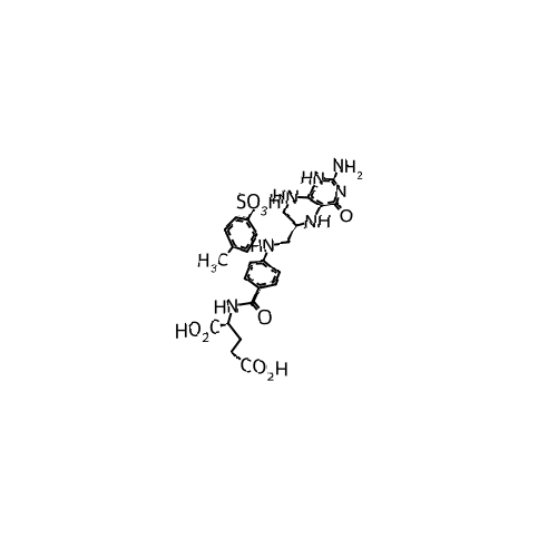 Cc1ccc(S(=O)(=O)O)cc1.Nc1nc(=O)c2c([nH]1)NC[C@H](CNc1ccc(C(=O)N[C@@H](CCC(=O)O)C(=O)O)cc1)N2